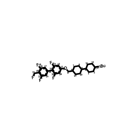 CCCCC1CCC(C2CCC(COc3cc(F)c(-c4cc(F)c(CF)c(F)c4)c(F)c3)CC2)CC1